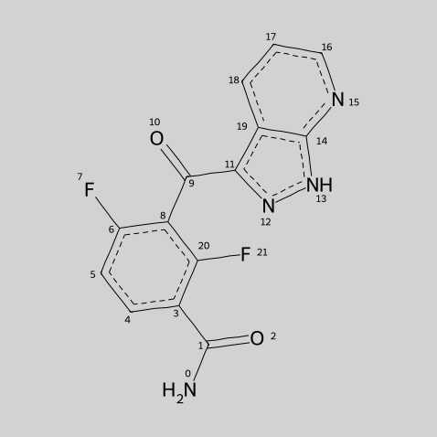 NC(=O)c1ccc(F)c(C(=O)c2n[nH]c3ncccc23)c1F